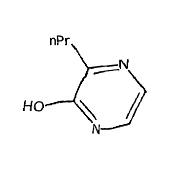 CCCc1nccnc1O